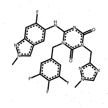 Cn1cnc(Cn2c(=O)nc(Nc3cc4cn(C)nc4cc3F)n(Cc3cc(F)c(F)c(F)c3)c2=O)n1